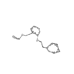 O=[C]OCc1ccccc1OCCc1ccccc1